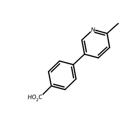 Cc1ccc(-c2ccc(C(=O)O)cc2)cn1